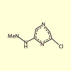 CNNc1cncc(Cl)n1